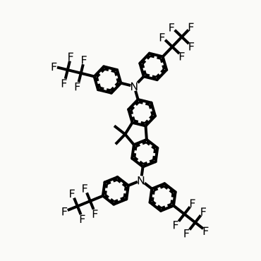 CC1(C)c2cc(N(c3ccc(C(F)(F)C(F)(F)F)cc3)c3ccc(C(F)(F)C(F)(F)F)cc3)ccc2-c2ccc(N(c3ccc(C(F)(F)C(F)(F)F)cc3)c3ccc(C(F)(F)C(F)(F)F)cc3)cc21